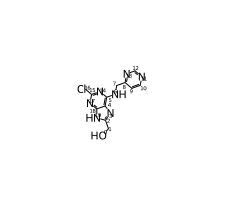 OCc1nc2c(NCc3ccncn3)nc(Cl)nc2[nH]1